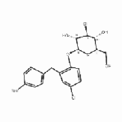 CCCCc1ccc(Cc2cc(Cl)ccc2O[C@@H]2S[C@H](CO)[C@@H](O)[C@H](O)[C@H]2O)cc1